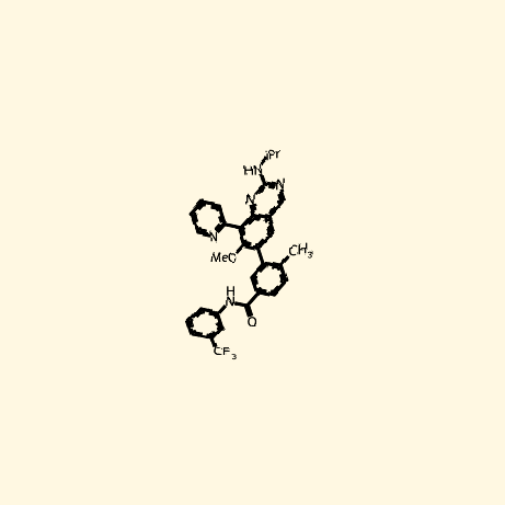 COc1c(-c2cc(C(=O)Nc3cccc(C(F)(F)F)c3)ccc2C)cc2cnc(NC(C)C)nc2c1-c1ccccn1